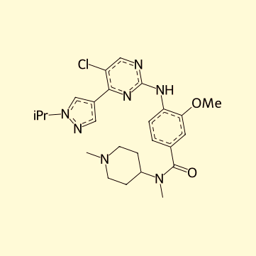 COc1cc(C(=O)N(C)C2CCN(C)CC2)ccc1Nc1ncc(Cl)c(-c2cnn(C(C)C)c2)n1